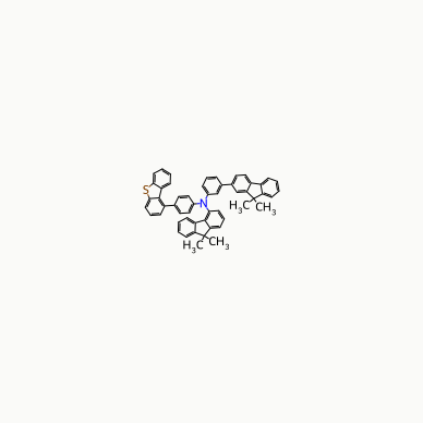 CC1(C)c2ccccc2-c2ccc(-c3cccc(N(c4ccc(-c5cccc6sc7ccccc7c56)cc4)c4cccc5c4-c4ccccc4C5(C)C)c3)cc21